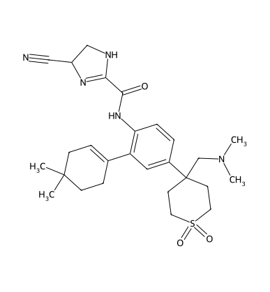 CN(C)CC1(c2ccc(NC(=O)C3=NC(C#N)CN3)c(C3=CCC(C)(C)CC3)c2)CCS(=O)(=O)CC1